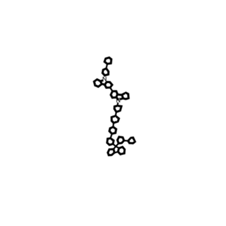 c1ccc(-c2ccc(-n3c4ccccc4c4cc(-c5ccc6c(c5)c5ccccc5n6-c5ccc(-c6ccc(-c7ccc(-c8cccc(C9(c%10cccc(-c%11ccccc%11)c%10)c%10ccccc%10-c%10ccccc%109)c8)cc7)cc6)cc5)ccc43)cc2)cc1